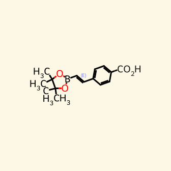 CC1(C)OB(/C=C/c2ccc(C(=O)O)cc2)OC1(C)C